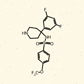 O=S(=O)(NC1(c2cc(F)cc(F)c2)CCNCC1)c1ccc(OC(F)(F)F)cc1